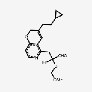 CCC(C=O)(Cc1nccc2c1C=C(CCC1CC1)CO2)OCOC